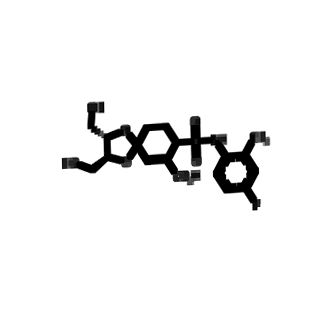 Cc1cc(F)ccc1NS(=O)(=O)C1CCC2(C=C1C(=O)O)O[C@@H](CO)[C@H](CO)O2